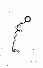 CCCCCCCCCCCCCCCCCC(=O)[O][Zn][CH]=Cc1ccccc1